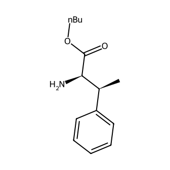 CCCCOC(=O)[C@H](N)[C@@H](C)c1ccccc1